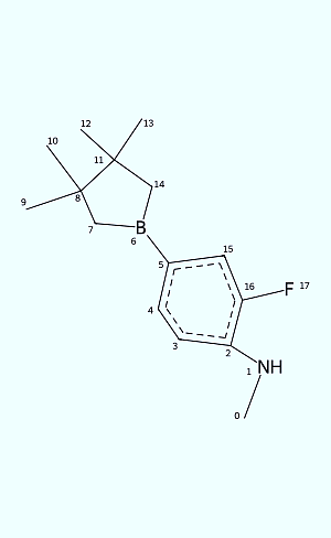 CNc1ccc(B2CC(C)(C)C(C)(C)C2)cc1F